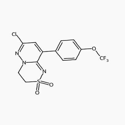 O=S1(=O)CCN2N=C(Cl)C=C(c3ccc(OC(F)(F)F)cc3)C2=N1